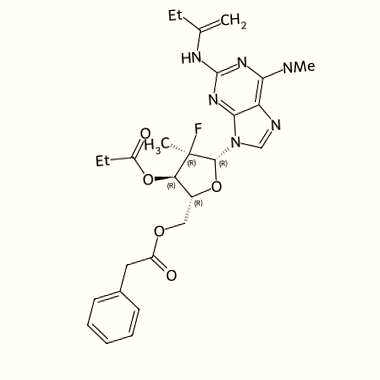 C=C(CC)Nc1nc(NC)c2ncn([C@@H]3O[C@H](COC(=O)Cc4ccccc4)[C@@H](OC(=O)CC)[C@@]3(C)F)c2n1